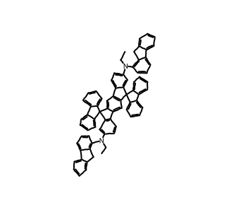 CCN(c1ccc2c(c1)C1(c3ccccc3-c3ccccc31)c1cc3c(cc1-2)C1(c2ccccc2-c2ccccc21)c1cc(N(CC)c2cccc4c2Cc2ccccc2-4)ccc1-3)c1cccc2c1Cc1ccccc1-2